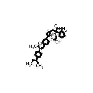 CCC(CC)c1ccc(N(Cc2ccc(-c3csc(CC(NCC(=O)O)(C(N)=O)c4ccccc4)n3)cc2)C(C)C)cc1